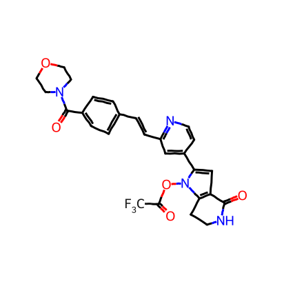 O=C1NCCc2c1cc(-c1ccnc(C=Cc3ccc(C(=O)N4CCOCC4)cc3)c1)n2OC(=O)C(F)(F)F